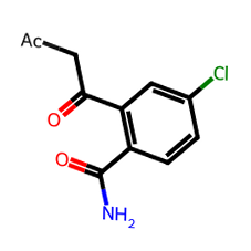 CC(=O)CC(=O)c1cc(Cl)ccc1C(N)=O